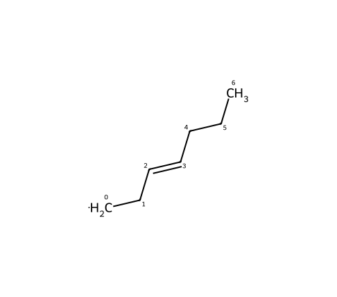 [CH2]C/C=C/CCC